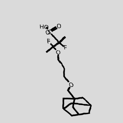 CC(F)(OCCCOCC12CC3CC(CC(C3)C1)C2)C(C)(F)S(=O)(=O)O